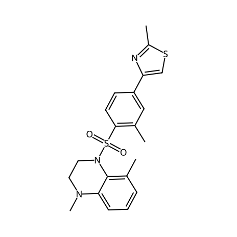 Cc1nc(-c2ccc(S(=O)(=O)N3CCN(C)c4cccc(C)c43)c(C)c2)cs1